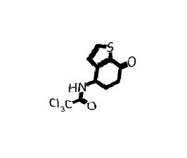 O=C1CCC(NC(=O)C(Cl)(Cl)Cl)c2ccsc21